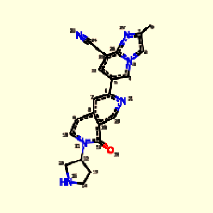 Cc1cn2cc(-c3cc4ccn(C5CCNC5)c(=O)c4cn3)cc(C#N)c2n1